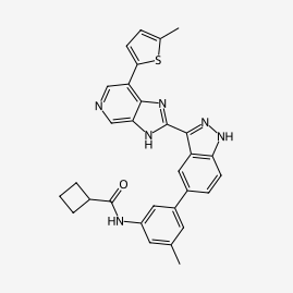 Cc1cc(NC(=O)C2CCC2)cc(-c2ccc3[nH]nc(-c4nc5c(-c6ccc(C)s6)cncc5[nH]4)c3c2)c1